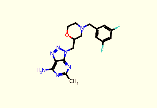 Cc1nc(N)c2nnn(CC3CN(Cc4cc(F)cc(F)c4)CCO3)c2n1